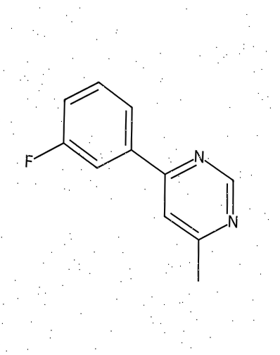 Cc1cc(-c2cccc(F)c2)ncn1